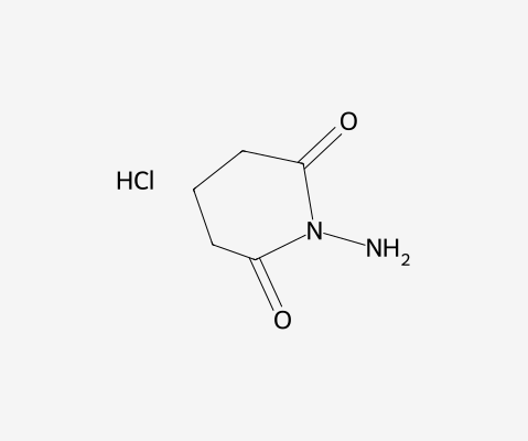 Cl.NN1C(=O)CCCC1=O